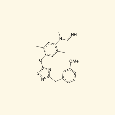 COc1cccc(Cc2nsc(Oc3cc(C)c(N(C)C=N)cc3C)n2)c1